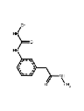 CNC(=O)Cc1cccc(NC(=O)NC)c1